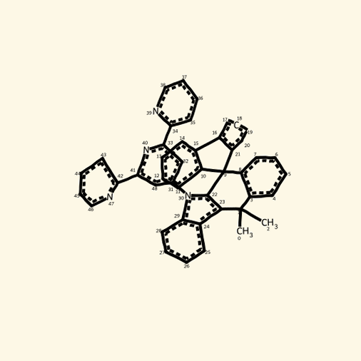 CC1(C)c2ccccc2C2(c3ccccc3-c3ccccc32)c2c1c1ccccc1n2-c1cc(-c2ccccn2)nc(-c2ccccn2)c1